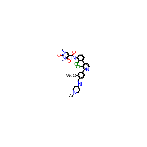 COc1cc(-c2nccc(-c3cccc(NC(=O)c4cn(C)c(=O)n(C)c4=O)c3Cl)c2Cl)ccc1CNC1CCN(C(C)=O)CC1